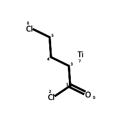 O=C(Cl)CCCCl.[Ti]